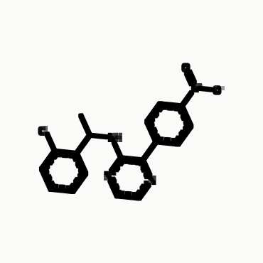 CC(Nc1nccnc1-c1ccc([N+](=O)[O-])cc1)c1ccccc1Cl